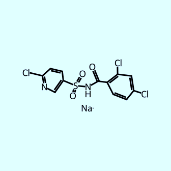 O=C(NS(=O)(=O)c1ccc(Cl)nc1)c1ccc(Cl)cc1Cl.[Na]